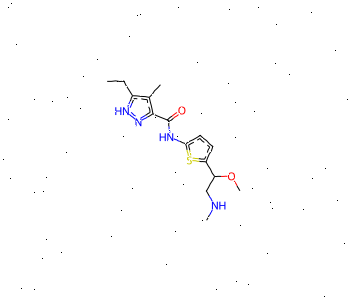 CCc1[nH]nc(C(=O)Nc2ccc(C(CNC)OC)s2)c1C